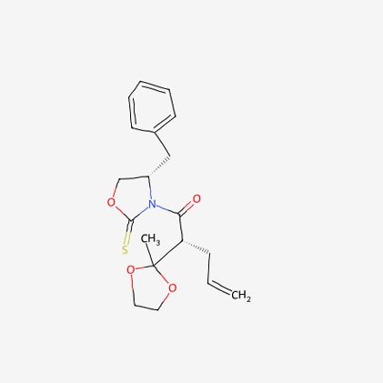 C=CC[C@@H](C(=O)N1C(=S)OC[C@@H]1Cc1ccccc1)C1(C)OCCO1